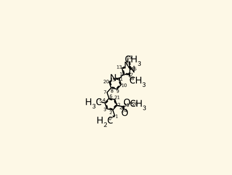 C=Cc1cc(C)c(Cc2ccc(-c3cn(C)nc3C)nc2)cc1C(=O)OC